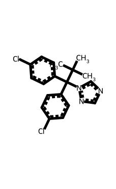 CC(C)(C)C(c1ccc(Cl)cc1)(c1ccc(Cl)cc1)n1cncn1